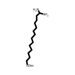 CCCCCCCCCCCCCCCCCCCCCCCC(N)N